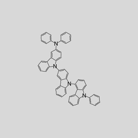 c1ccc(N(c2ccccc2)c2ccc3c(c2)c2ccccc2n3-c2ccc3c(c2)c2ccccc2n3-c2cccc3c2c2ccccc2n3-c2ccccc2)cc1